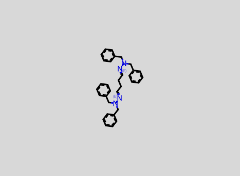 C(/CC/C=N/N(Cc1ccccc1)Cc1ccccc1)=N\N(Cc1ccccc1)Cc1ccccc1